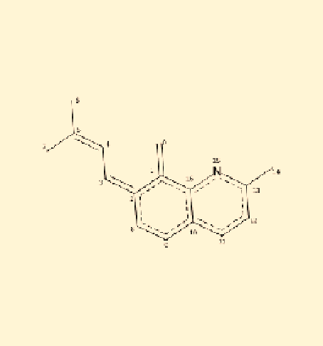 C=c1/c(=C\C=C(C)C)ccc2ccc(C)nc12